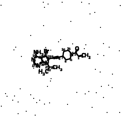 C=CC(=O)N1CCC(C#Cc2c(Br)c3c(N)ncnc3n2C(C)C)CC1